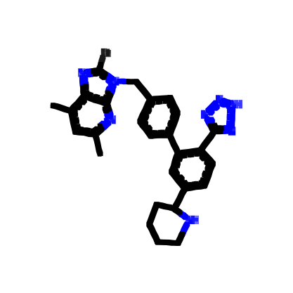 CCc1nc2c(C)cc(C)nc2n1Cc1ccc(-c2cc(C3CCCCN3)ccc2-c2nn[nH]n2)cc1